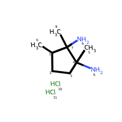 CC1CCC(C)(N)C1(C)N.Cl.Cl